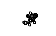 CC(C)(C)C(=O)ON1CC=CC1c1cc(C(=O)N2CCOCC2)cc2c(=O)cc(N3CCOCC3)oc12